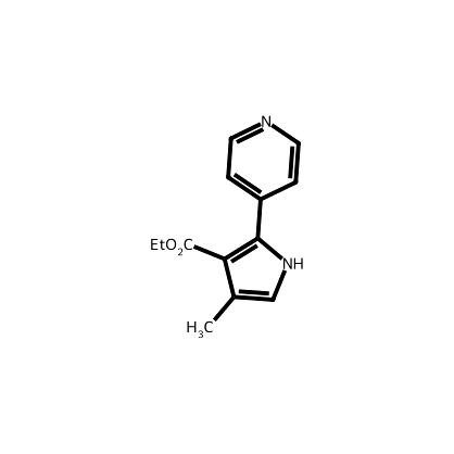 CCOC(=O)c1c(C)c[nH]c1-c1ccncc1